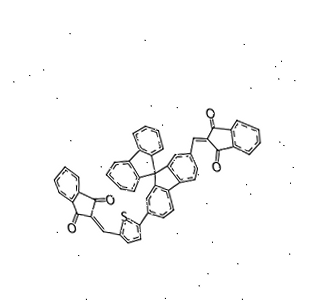 O=C1C(=Cc2ccc3c(c2)C2(c4ccccc4-c4ccccc42)c2cc(-c4ccc(C=C5C(=O)c6ccccc6C5=O)s4)ccc2-3)C(=O)c2ccccc21